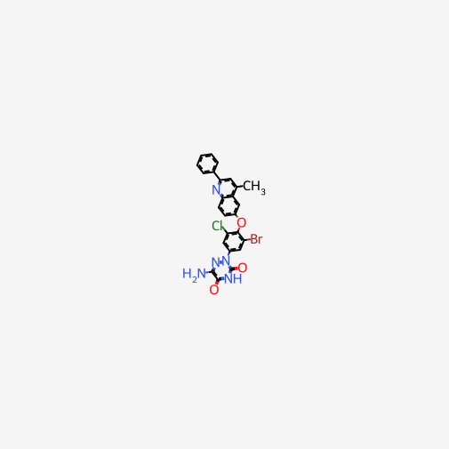 Cc1cc(-c2ccccc2)nc2ccc(Oc3c(Cl)cc(-n4nc(N)c(=O)[nH]c4=O)cc3Br)cc12